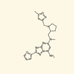 Cc1cc(CN2CCCC2CN(C)c2cc(N)n3nc(-c4ccco4)nc3n2)no1